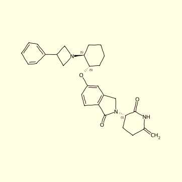 C=C1CC[C@H](N2Cc3cc(O[C@H]4CCCC[C@@H]4N4CC(c5ccccc5)C4)ccc3C2=O)C(=O)N1